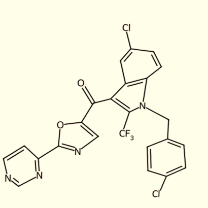 O=C(c1cnc(-c2ccncn2)o1)c1c(C(F)(F)F)n(Cc2ccc(Cl)cc2)c2ccc(Cl)cc12